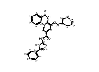 CC(Oc1ncc(C(=O)Nc2nnc(-c3ccncc3)s2)cc1OCC1CCOCC1)c1ccccc1